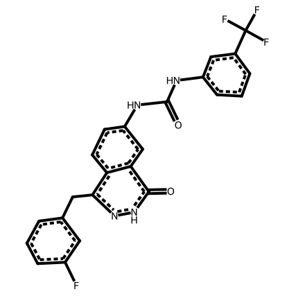 O=C(Nc1cccc(C(F)(F)F)c1)Nc1ccc2c(Cc3cccc(F)c3)n[nH]c(=O)c2c1